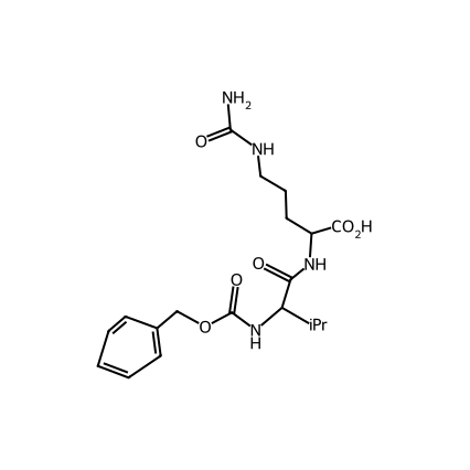 CC(C)C(NC(=O)OCc1ccccc1)C(=O)NC(CCCNC(N)=O)C(=O)O